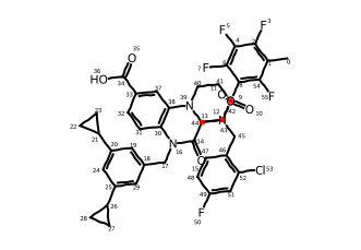 Cc1c(F)c(F)c(F)c(S(=O)(=O)N(CC(=O)N(Cc2cc(C3CC3)cc(C3CC3)c2)c2ccc(C(=O)O)cc2N2CCOCC2)Cc2ccc(F)cc2Cl)c1F